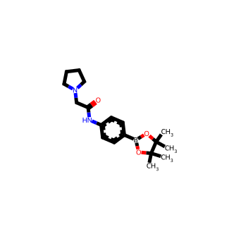 CC1(C)OB(c2ccc(NC(=O)CN3CCCC3)cc2)OC1(C)C